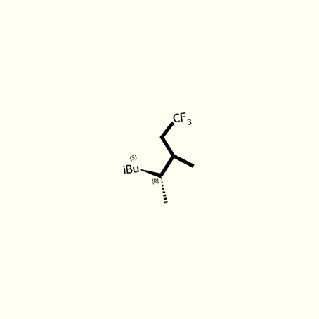 CC[C@H](C)[C@@H](C)C(C)CC(F)(F)F